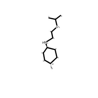 CC(C)OCCN[C@H]1CC[C@H](C)CC1